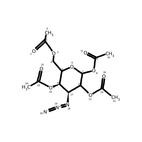 CC(=O)OCC1OC(OC(C)=O)C(OC(C)=O)[C@@H](N=[N+]=[N-])[C@H]1OC(C)=O